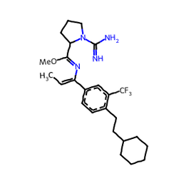 C/C=C(\N=C(/OC)C1CCCN1C(=N)N)c1ccc(CCC2CCCCC2)c(C(F)(F)F)c1